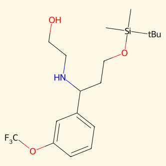 CC(C)(C)[Si](C)(C)OCCC(NCCO)c1cccc(OC(F)(F)F)c1